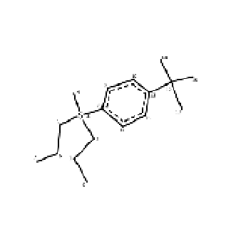 CCCS(C)(CCC)c1ccc(C(C)(C)C)cc1